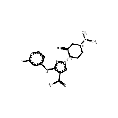 CN(C)[C@H]1CC[C@H](n2cc(C(N)=O)c(Nc3ccnc(F)c3)n2)C(=N)C1